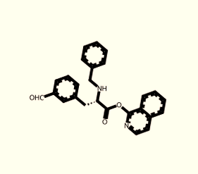 O=Cc1cccc(C[C@H](NCc2ccccc2)C(=O)Oc2nccc3ccccc23)c1